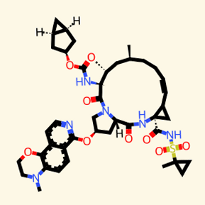 C[C@H]1CC/C=C\C2C[C@@]2(C(=O)NS(=O)(=O)C2(C)CC2)NC(=O)[C@@H]2C[C@@H](Oc3nccc4c5c(ccc34)N(C)CCO5)CN2C(=O)[C@@H](NC(=O)O[C@@H]2C[C@@H]3C[C@@H]3C2)[C@H](C)C1